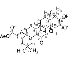 COC(=O)/C=C/[C@]12CCC(C)(C)CC1C1C(=O)C=C3[C@@]4(C)CC(C#N)=C(O)C(C)(C)[C@@H]4CC[C@@]3(C)[C@]1(C)CC2